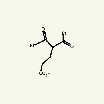 CCC(=O)C(CCC(=O)O)C(=O)CC